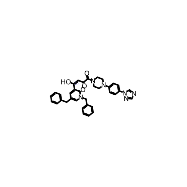 O=C(/C=C(/O)c1cc(Cc2ccccc2)cn(Cc2ccccc2)c1=O)C(=O)N1CCN(c2ccc(-n3cncn3)cc2)CC1